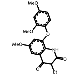 CCC1C(=O)Nc2c(Oc3ccc(OC)cc3OC)cc(OC)cc2C1=O